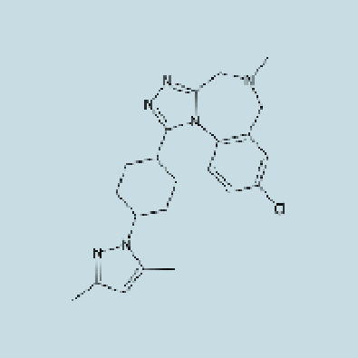 Cc1cc(C)n(C2CCC(c3nnc4n3-c3ccc(Cl)cc3CN(C)C4)CC2)n1